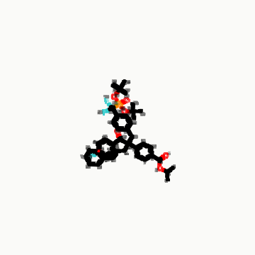 CC(C)OC(=O)c1ccc(C(CC=Cc2ccccc2)(Cc2ccc(C(F)(F)P(=O)(OC(C)(C)C)OC(C)(C)C)cc2)C(=O)c2ccc(F)cc2)cc1